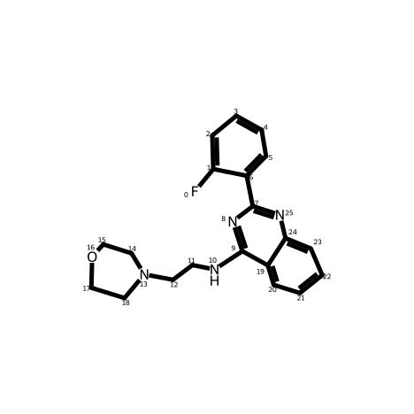 Fc1ccccc1-c1nc(NCCN2CCOCC2)c2ccccc2n1